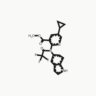 COC(=O)c1cc(C2CC2)cnc1N(C(=O)C(F)(F)F)c1ccc2[nH]ccc2c1